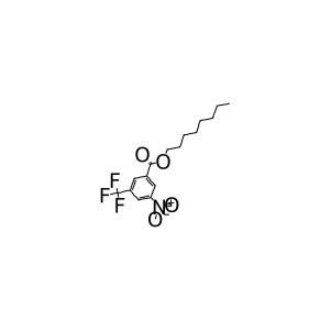 CCCCCCCCOC(=O)c1cc([N+](=O)[O-])cc(C(F)(F)F)c1